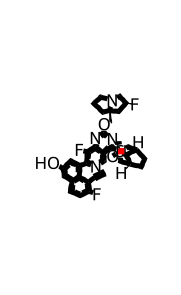 C#Cc1c(F)ccc2cc(O)cc(-c3ncc4c(N5C[C@H]6CC[C@@H](C5)C6[S+](C)[O-])nc(OC[C@@]56CCCN5C[C@H](F)C6)nc4c3F)c12